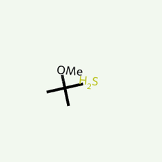 COC(C)(C)C.S